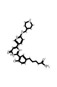 NC(=O)CCCCc1ccc(Cl)c(-c2nc(-c3ccc(OCC4CCOCC4)nc3)cc(=O)[nH]2)c1